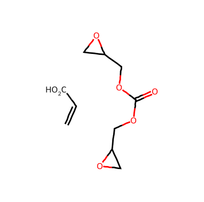 C=CC(=O)O.O=C(OCC1CO1)OCC1CO1